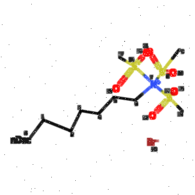 CCCCCCCCCCCCCCCC[N+](S(C)(=O)=O)(S(C)(=O)=O)S(C)(=O)=O.[Br-]